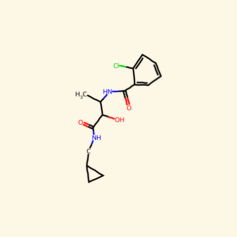 CC(NC(=O)c1ccccc1Cl)C(O)C(=O)NCC1CC1